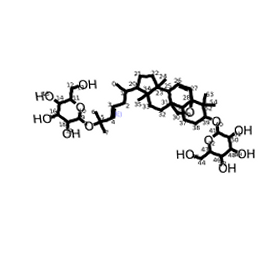 CC(C/C=C/C(C)(C)OC1OC(CO)C(O)C(O)C1O)C1CCC2(C)C3C=CC45OCC3(CCC12C)C4CCC(OC1OC(CO)C(O)C(O)C1O)C5(C)C